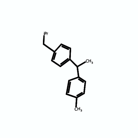 Cc1ccc(C(C)c2ccc(CC(C)C)cc2)cc1